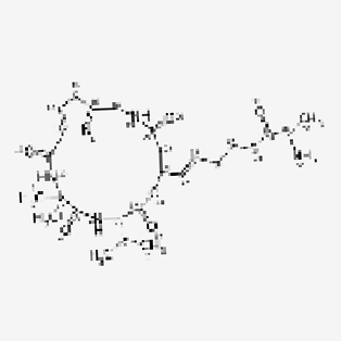 CC(C)[C@@H]1NC(=O)C(C)(C)NC(=O)c2csc(n2)CNC(=O)C[C@@H](/C=C/CCSC(=O)[C@H](C)N)OC1=O